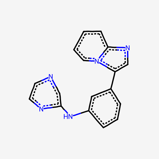 c1cc(Nc2cnccn2)cc(-c2cnc3ccccn23)c1